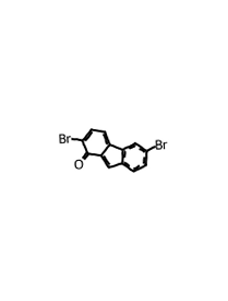 O=C1C(Br)=CC=C2C1=Cc1ccc(Br)cc12